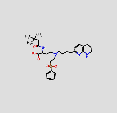 CC(C)(C)CC(=O)NC(CCN(CCCCc1ccc2c(n1)NCCC2)CCS(=O)(=O)c1ccccc1)C(=O)O